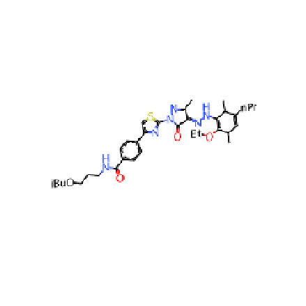 CCCC1=CC(C)C(OCC)=C(N/N=C2/C(=O)N(c3nc(-c4ccc(C(=O)NCCCOCC(C)C)cc4)cs3)N=C2C)C1C